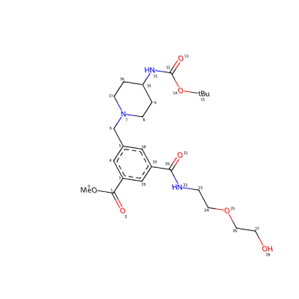 COC(=O)c1cc(CN2CCC(NC(=O)OC(C)(C)C)CC2)cc(C(=O)NCCOCCO)c1